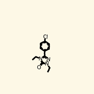 CCn1nc(-c2ccc(Cl)cc2)n(CC)c1=O